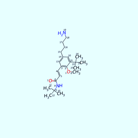 COc1c(/C=C/C(=O)NC(C)(C)C)cc(CCCCN)cc1C(C)(C)C